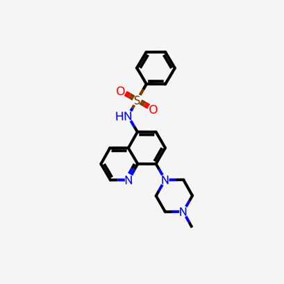 CN1CCN(c2ccc(NS(=O)(=O)c3ccccc3)c3cccnc23)CC1